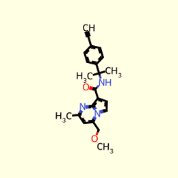 C#Cc1ccc(C(C)(C)NC(=O)c2ccn3c(COC)cc(C)nc23)cc1